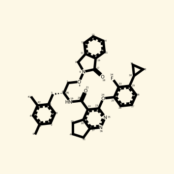 Cc1ccc(C[C@H](CON2Cc3ccccc3C2=O)NC(=O)c2c(Oc3cccc(C4CC4)c3F)nnc3c2CCC3)c(C)c1